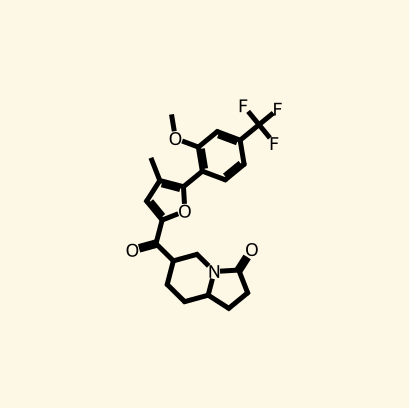 COc1cc(C(F)(F)F)ccc1-c1oc(C(=O)C2CCC3CCC(=O)N3C2)cc1C